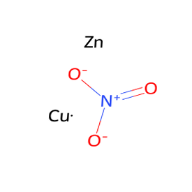 O=[N+]([O-])[O-].[Cu].[Zn]